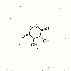 O=C1SSC(=O)C(O)C1O